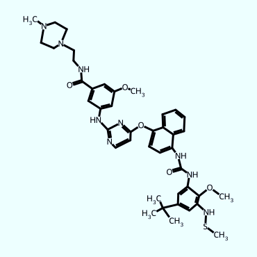 COc1cc(Nc2nccc(Oc3ccc(NC(=O)Nc4cc(C(C)(C)C)cc(NSC)c4OC)c4ccccc34)n2)cc(C(=O)NCCN2CCN(C)CC2)c1